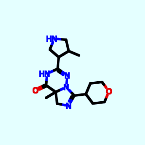 CC1CNCC1C1=NN2C(C3CCOCC3)=NCC2(C)C(=O)N1